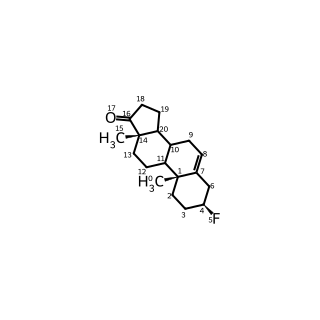 C[C@]12CC[C@H](F)CC1=CCC1C2CC[C@]2(C)C(=O)CCC12